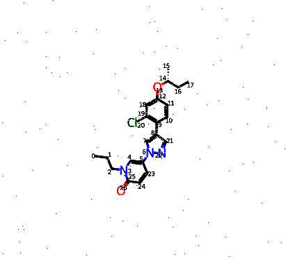 CCCn1cc(-n2cc(-c3ccc(O[C@H](C)CC)cc3Cl)cn2)ccc1=O